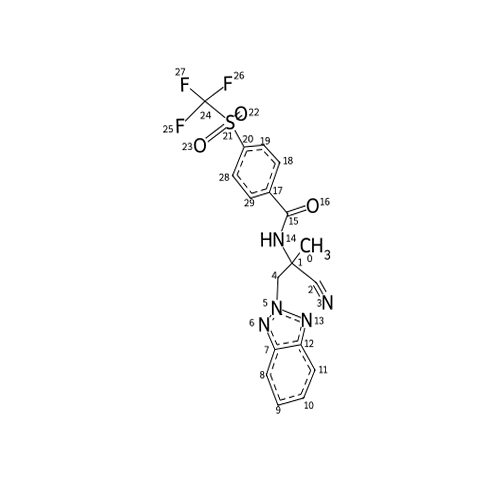 CC(C#N)(Cn1nc2ccccc2n1)NC(=O)c1ccc(S(=O)(=O)C(F)(F)F)cc1